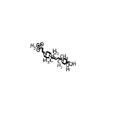 CC(C)(CCC(C)(C)N1CCC(O)(CO)CC1)N1CCN(CCS(C)(=O)=O)CC1